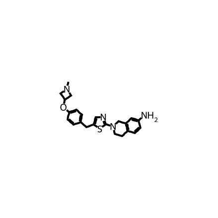 CN1CC(Oc2ccc(Cc3cnc(N4CCc5ccc(N)cc5C4)s3)cc2)C1